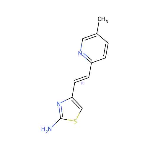 Cc1ccc(/C=C/c2csc(N)n2)nc1